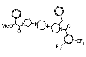 COC(C(=O)N1CCC(N2CCN(C3CCN(C(=O)c4cc(C(F)(F)F)cc(C(F)(F)F)c4)C(Cc4ccccc4)C3)CC2)C1)c1ccccc1